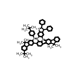 CC(C)(C)c1ccc(N2B3c4cc5c(cc4-n4c6cc7c(cc6c6ccc(c3c64)-c3cc4c(cc32)C(C)(C)c2ccc(C(C)(C)C)cc2-4)C(C)(C)c2ccccc2-7)C(c2ccccc2)C(c2ccccc2)S5)cc1